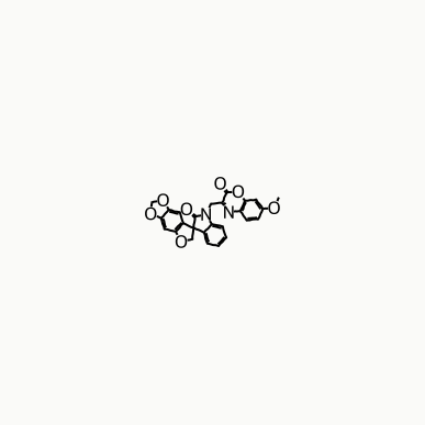 COc1ccc2nc(CN3C(=O)C4(COc5cc6c(cc54)OCO6)c4ccccc43)c(=O)oc2c1